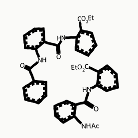 CCOC(=O)c1ccccc1NC(=O)c1ccccc1NC(=O)c1ccccc1.CCOC(=O)c1ccccc1NC(=O)c1ccccc1NC(C)=O